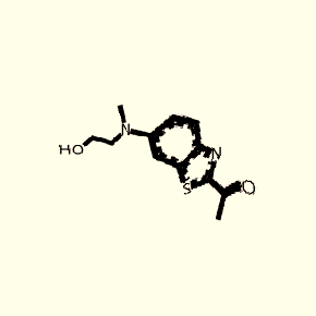 CC(=O)c1nc2ccc(N(C)CCO)cc2s1